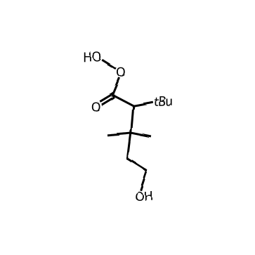 CC(C)(C)C(C(=O)OO)C(C)(C)CCO